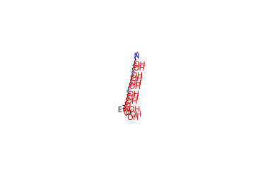 C/C=N/CCCC(O)CC(O)C/C=C/C(O)CC(O)CC(O)CC(O)C/C=C/C(O)CC(O)CC(O)CC(=O)C(C)C(CC)OC1OC(C)C(O)C(O)C1O